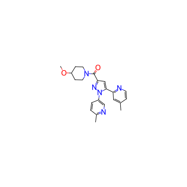 COC1CCN(C(=O)c2cc(-c3cc(C)ccn3)n(-c3ccc(C)nc3)n2)CC1